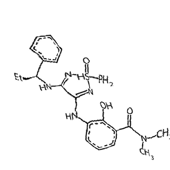 CC[C@H](NC1=N[SH](=O)(P)N=C1Nc1cccc(C(=O)N(C)C)c1O)c1ccccc1